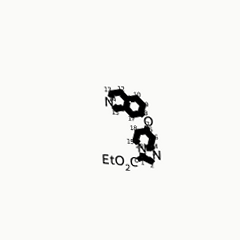 CCOC(=O)c1cnc2cc(Oc3ccc4ccncc4c3)ccn12